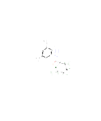 O=C(Nc1cc([N+](=O)[O-])cc([N+](=O)[O-])c1)C1(F)C(F)(F)C(F)(F)C(F)(F)C(F)(F)C1(F)F